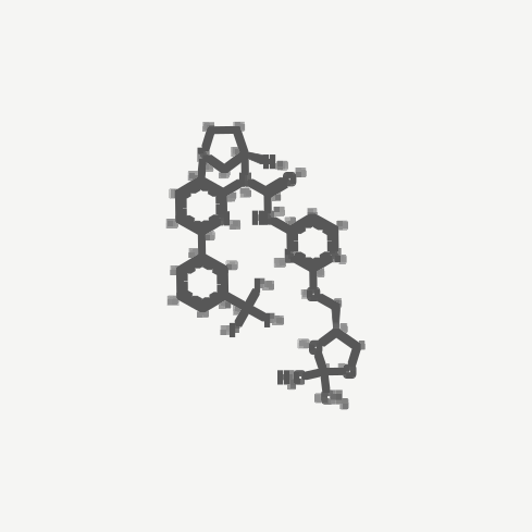 CC1(C)OC[C@H](COc2nccc(NC(=O)N3c4nc(-c5cccc(C(F)(F)F)c5)ccc4N4CC[C@H]3C4)n2)O1